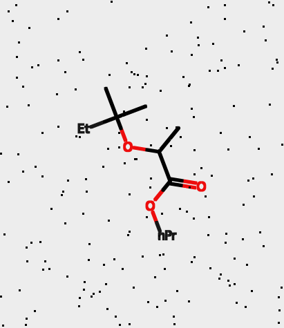 CCCOC(=O)C(C)OC(C)(C)CC